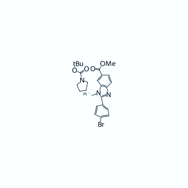 COC(=O)c1ccc2nc(-c3ccc(Br)cc3)n(C[C@@H]3CCN(C(=O)OC(C)(C)C)C3)c2c1